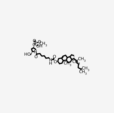 COP(=O)(O)O[C@H]1C[C@H](CO)N(C(=O)CCCCCNC(=O)O[C@H]2CC[C@@]3(C)C(=CCC4C3CC[C@@]3(C)C4CC[C@@H]3[C@H](C)CCCC(C)C)C2)C1